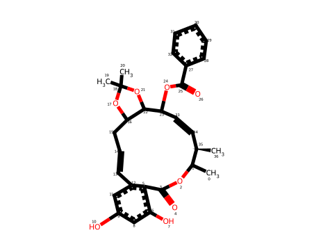 CC1OC(=O)c2c(O)cc(O)cc2/C=C/CC2OC(C)(C)OC2C(OC(=O)c2ccccc2)/C=C\[C@H]1C